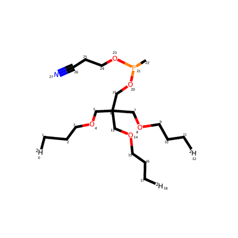 [2H]CCCOCC(COCCC[2H])(COCCC[2H])COP(C)OCCC#N